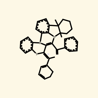 C=C(C1=C2B(c3ccccc3S/C2=C(/C)C2=CC=CCC2)c2cccc3c2N1C1(C)CCCCC31C)c1ccccc1